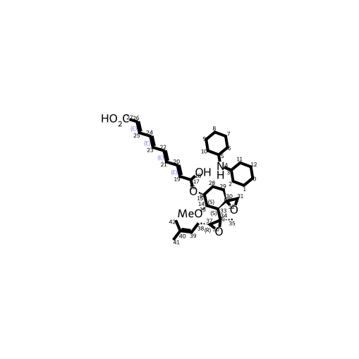 C1CCC(NC2CCCCC2)CC1.CO[C@@H]1[C@H](OC(O)/C=C/C=C/C=C/C=C/C(=O)O)CC[C@]2(CO2)[C@H]1[C@@]1(C)O[C@@H]1CC=C(C)C